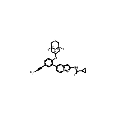 CC#Cc1ccc(OC2C[C@H]3COC[C@@H](C2)N3)c(-c2ccn3nc(NC(=O)C4CC4)cc3c2)c1